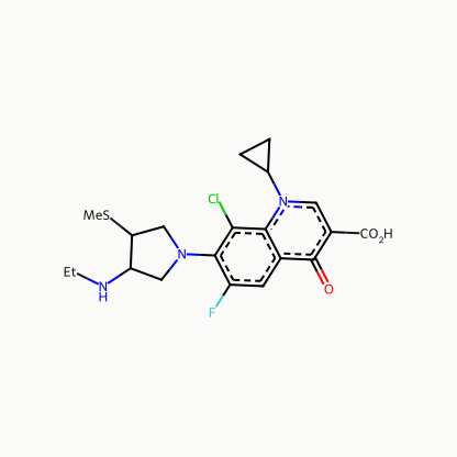 CCNC1CN(c2c(F)cc3c(=O)c(C(=O)O)cn(C4CC4)c3c2Cl)CC1SC